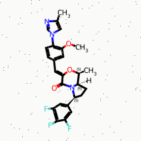 COc1cc(C=C2O[C@@H](C)[C@H]3CC[C@@H](c4cc(F)c(F)c(F)c4)N3C2=O)ccc1-n1cnc(C)c1